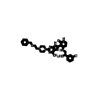 Cc1nc(N2CCN(CCOCc3ccccc3)CC2)nc2[nH]c(-c3c(NCC(O)c4cccc(Cl)c4)cc[nH]c3=O)nc12